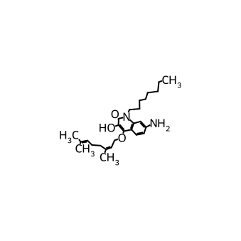 CCCCCCCCn1c(=O)c(O)c(OCC=C(C)CCC=C(C)C)c2ccc(N)cc21